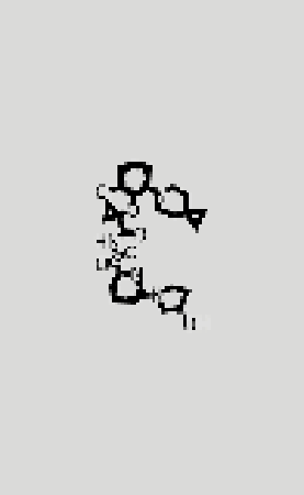 O=C(NS(=O)(=O)c1cccc(N2CC[C@H](O)C2)n1)C1(Oc2c(Cl)cccc2N2CCC3(CC2)CC3)CC1